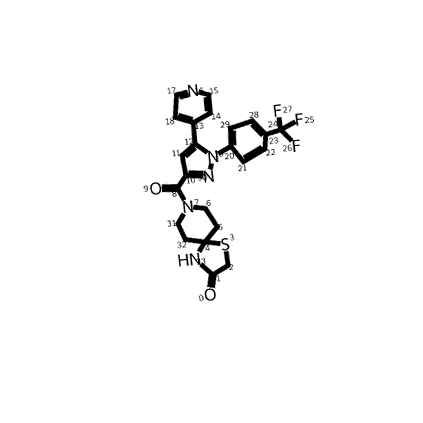 O=C1CSC2(CCN(C(=O)c3cc(-c4ccncc4)n(-c4ccc(C(F)(F)F)cc4)n3)CC2)N1